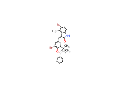 Cc1c(Br)ccc2c1C(=Cc1cc(Br)c(OCc3ccccc3)c(C(C)(C)C)c1)C(=O)N2